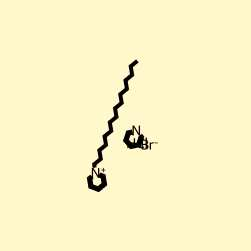 CCCCCCCCCCCCCCCC[n+]1ccccc1.Cl.[Br-].c1ccncc1